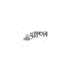 CC(=O)NC1(C)CCC2(CC1)OCC(C)(NC(=O)c1ccc(OC(F)(F)F)cc1)CO2